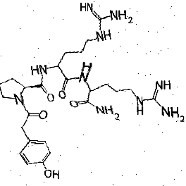 N=C(N)NCCCC(NC(=O)C(CCCNC(=N)N)NC(=O)[C@@H]1CCCN1C(=O)Cc1ccc(O)cc1)C(N)=O